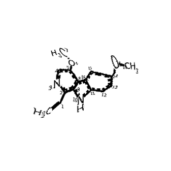 C=Cc1ncc(OC)c2c1[nH]c1ccc(OC)cc12